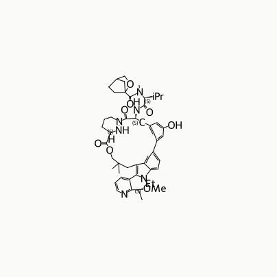 CCn1c(-c2cccnc2[C@H](C)OC)c2c3cc(ccc31)-c1cc(O)cc(c1)C[C@H](NC(=O)[C@H](C(C)C)N(C)C(=O)C13CCC(CO1)C3)C(=O)N1CCC[C@H](N1)C(=O)OCC(C)(C)C2